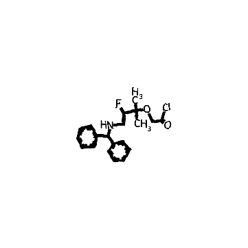 CC(C)(OCC(=O)Cl)C(F)CNC(c1ccccc1)c1ccccc1